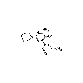 CCON(C=O)c1cc(N2CCCCC2)nc(N)[n+]1[O-]